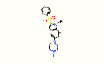 CC(C)n1c(S(=O)(=O)c2ccccc2)cc2cc(N3CCNCC3)ccc21